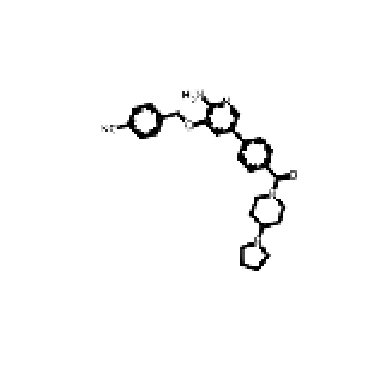 N#Cc1ccc(COc2cc(-c3ccc(C(=O)N4CCC(N5CCCC5)CC4)cc3)cnc2N)cc1